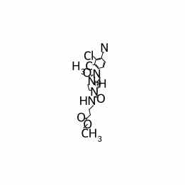 CCOC(=O)CCCNC(=O)N1CCN2C(=O)N(c3ccc(C#N)c(Cl)c3C)C[C@@H]2C1